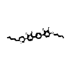 C/C=C/CCC1CCC(c2ccc(-c3ccc(-c4ccc(OCCCCC)c(F)c4F)cc3)c(F)c2F)CO1